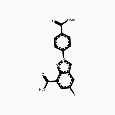 COC(=O)c1ccc(-n2cc3cc(F)cc(C(N)=O)c3n2)cc1